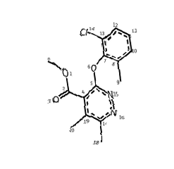 COC(=O)c1c(Oc2c(C)cccc2Cl)nnc(I)c1C